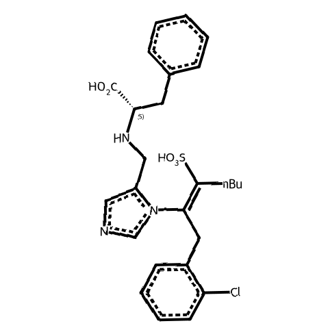 CCCCC(=C(Cc1ccccc1Cl)n1cncc1CN[C@@H](Cc1ccccc1)C(=O)O)S(=O)(=O)O